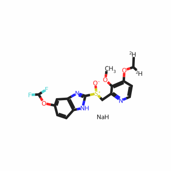 [2H]C([2H])Oc1ccnc(C[S+]([O-])c2nc3cc(OC(F)F)ccc3[nH]2)c1OC.[NaH]